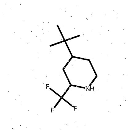 CC(C)(C)C1CCNC(C(F)(F)F)C1